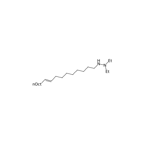 CCCCCCCCC=CCCCCCCCCNN(CC)CC